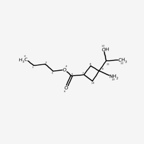 CCCCOC(=O)C1CC(N)(C(C)O)C1